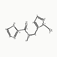 CCn1nccc1CN(C)C(=O)c1cccs1